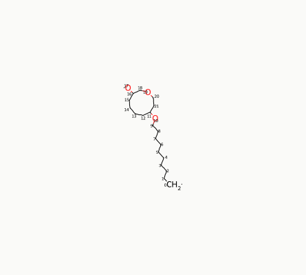 [CH2]CCCCCCCCCOC1CCCCC([O])COCC1